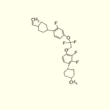 C=CC1CCC(c2ccc(OC(F)(F)COc3ccc(C4CCC(C)CC4)c(F)c3F)cc2F)CC1